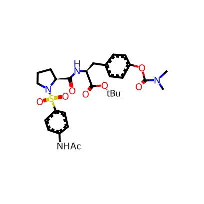 CC(=O)Nc1ccc(S(=O)(=O)N2CCC[C@H]2C(=O)N[C@@H](Cc2ccc(OC(=O)N(C)C)cc2)C(=O)OC(C)(C)C)cc1